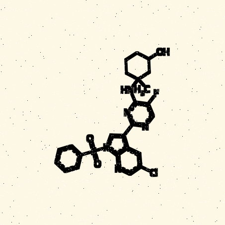 CC1(Nc2nc(-c3cn(S(=O)(=O)c4ccccc4)c4ncc(Cl)cc34)ncc2F)CCCC(O)C1